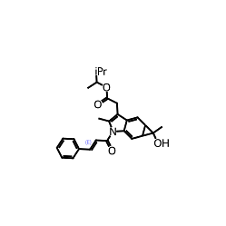 Cc1c(CC(=O)OC(C)C(C)C)c2c(n1C(=O)/C=C/c1ccccc1)=CC1C(C=2)C1(C)O